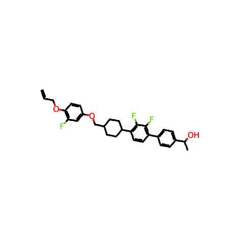 C=CCOc1ccc(OCC2CCC(c3ccc(-c4ccc(C(C)O)cc4)c(F)c3F)CC2)cc1F